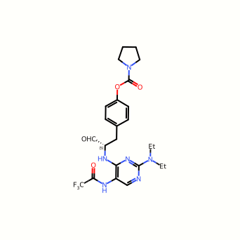 CCN(CC)c1ncc(NC(=O)C(F)(F)F)c(N[C@H](C=O)Cc2ccc(OC(=O)N3CCCC3)cc2)n1